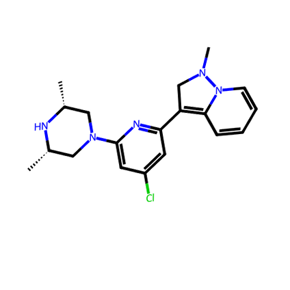 C[C@@H]1CN(c2cc(Cl)cc(C3=C4C=CC=CN4N(C)C3)n2)C[C@H](C)N1